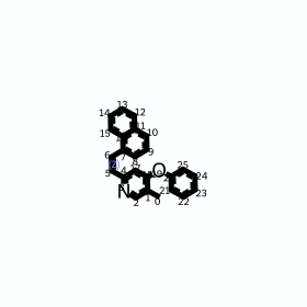 Cc1cnc(/C=C\c2cccc3ccccc23)cc1Oc1ccccc1